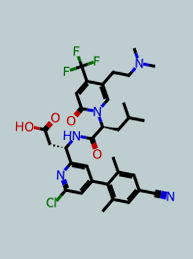 Cc1cc(C#N)cc(C)c1-c1cc(Cl)nc([C@H](CC(=O)O)NC(=O)[C@H](CC(C)C)n2cc(CCN(C)C)c(C(F)(F)F)cc2=O)c1